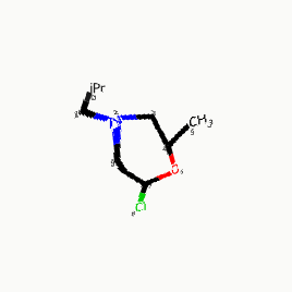 CC(C)CN1CC(C)OC(Cl)C1